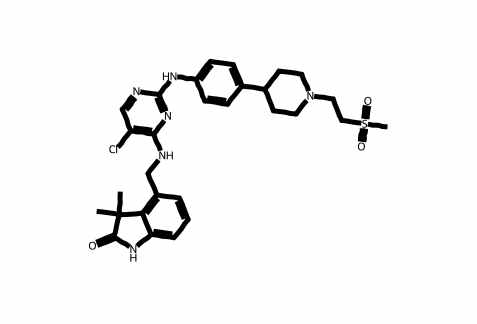 CC1(C)C(=O)Nc2cccc(CNc3nc(Nc4ccc(C5CCN(CCS(C)(=O)=O)CC5)cc4)ncc3Cl)c21